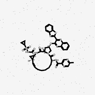 Cc1cnc(C(=O)N[C@H]2CCCCCC=C[C@H]3C[C@@]3(C(=O)NS(=O)(=O)C3CC3)NC(=O)[C@@H]3C[C@@H](Oc4nc5ccccc5nc4-c4nc5ccccc5s4)CN3C2=O)cn1